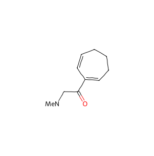 CNCC(=O)C1=CCCCC=C1